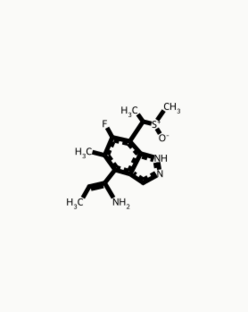 C/C=C(\N)c1c(C)c(F)c(C(C)[S+](C)[O-])c2[nH]ncc12